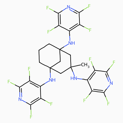 CC1(Nc2c(F)c(F)nc(F)c2F)CC2(Nc3c(F)c(F)nc(F)c3F)CCCC(Nc3c(F)c(F)nc(F)c3F)(C1)C2